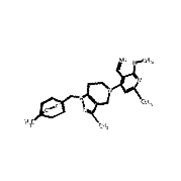 CNc1nc(C)cc(N2CCc3c(c(C)nn3CC34CCC(C)(CC3)CC4)C2)c1C=N